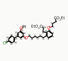 CCOC(=O)CCCOc1cccc(CCCCCCOc2cc(OCC)cc(-c3ccc(Cl)cc3)c2)c1CCC(=O)OCC